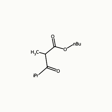 CCCCOC(=O)C(C)C(=O)C(C)C